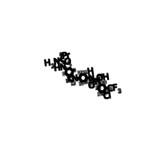 CC(C)[C@H](N)C(=O)Nc1ccc2c(ccn2-c2ccc(NC(=O)N(O)c3ccc(Cl)c(C(F)(F)F)c3)cc2)c1